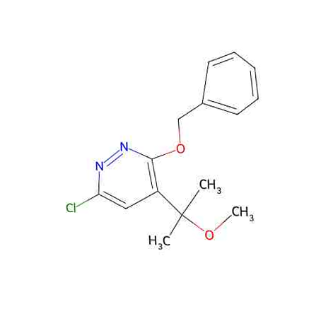 COC(C)(C)c1cc(Cl)nnc1OCc1ccccc1